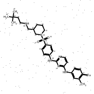 Cc1cc(Nc2ccnc(Nc3ccc(S(=O)(=O)N4CCCC(CNCCC(C)(C)C)C4)cc3)n2)ccc1F